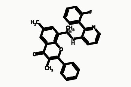 Cc1cc([C@@H](C)Nc2cccnc2-c2ccccc2F)c2oc(-c3ccccc3)c(C)c(=O)c2c1